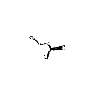 [O]OOC(=O)Cl